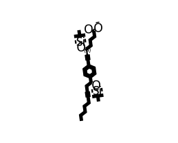 CCCCCC#CCC(O[Si](C)(C)C(C)(C)C)c1ccc(C#C[C@H](CCCC(=O)OC)O[Si](C)(C)C(C)(C)C)cc1